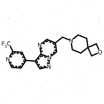 FC(F)(F)c1cc(-c2cnn3cc(CN4CCC5(CC4)COC5)cnc23)ccn1